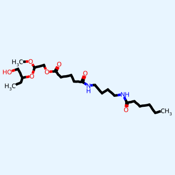 CCCCCC(=O)NCCCCNC(=O)CCCC(=O)OCC(OC)OC(CC)CO